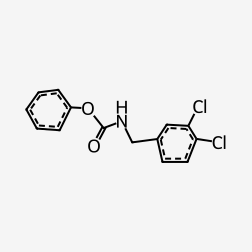 O=C(NCc1ccc(Cl)c(Cl)c1)Oc1ccccc1